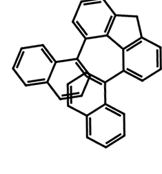 c1cc2c(c(-c3cccc4ccccc34)c1)-c1c(cccc1-c1cccc3ccccc13)C2